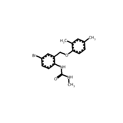 CNC(=O)Nc1ccc(Br)cc1COc1ccc(C)cc1C